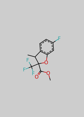 COC(=O)C1(C(F)(F)F)Oc2cc(F)ccc2C1C